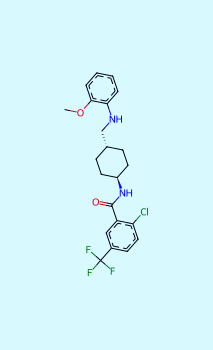 COc1ccccc1NC[C@H]1CC[C@H](NC(=O)c2cc(C(F)(F)F)ccc2Cl)CC1